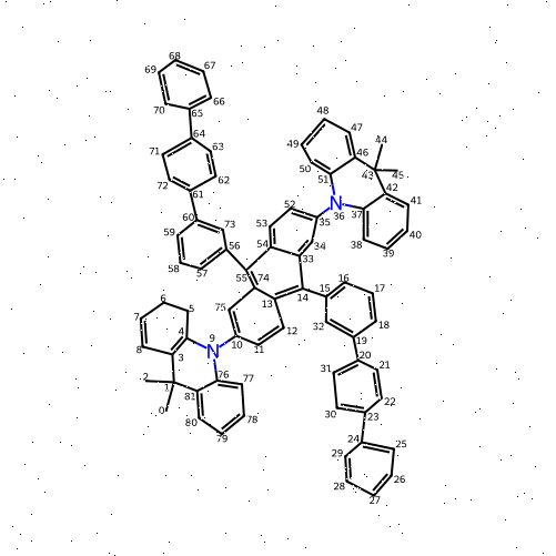 CC1(C)C2=C(CCC=C2)N(c2ccc3c(-c4cccc(-c5ccc(-c6ccccc6)cc5)c4)c4cc(N5c6ccccc6C(C)(C)c6ccccc65)ccc4c(-c4cccc(-c5ccc(-c6ccccc6)cc5)c4)c3c2)c2ccccc21